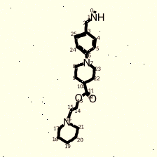 CNCc1ccc(N2CCC(C(=O)OCCN3CCCCC3)CC2)cc1